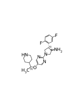 C[C@H](Oc1cnc(N2C[C@H](c3cc(F)ccc3F)[C@@H](N)C2)nc1)C1CCNCC1